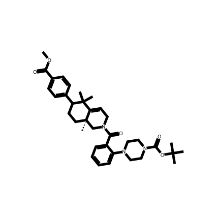 COC(=O)c1ccc(C2CC[C@]3(C)CN(C(=O)c4ccccc4N4CCN(C(=O)OC(C)(C)C)CC4)CC=C3C2(C)C)cc1